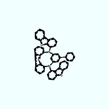 c1ccc(-c2cc3cc(c2)N(c2cccc4sc5ccccc5c24)c2cccc4c2sc2c(cccc24)N3c2cccc3c2oc2ccccc23)cc1